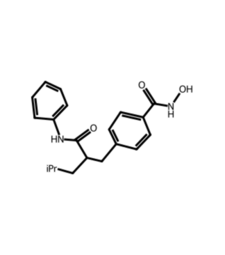 CC(C)CC(Cc1ccc(C(=O)NO)cc1)C(=O)Nc1ccccc1